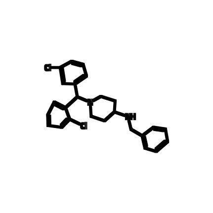 Clc1cccc(C(c2ccccc2Cl)N2CCC(NCc3ccccc3)CC2)c1